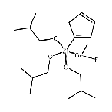 CC(C)C[O][Zr]([O]CC(C)C)([O]CC(C)C)([C]1=CC=CC1)[Ge]([CH3])([CH3])[F]